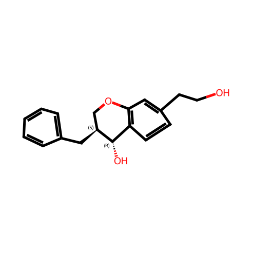 OCCc1ccc2c(c1)OC[C@H](Cc1ccccc1)[C@H]2O